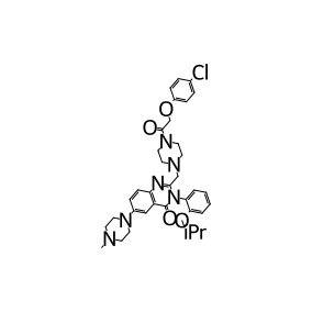 CC(C)Oc1ccccc1-n1c(CN2CCN(C(=O)COc3ccc(Cl)cc3)CC2)nc2ccc(N3CCN(C)CC3)cc2c1=O